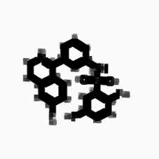 O=S(=O)(Nc1cccc(C2=NCCc3cc(F)ccc32)c1)c1cc(F)ccc1F